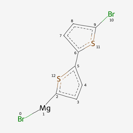 [Br][Mg][c]1ccc(-c2ccc(Br)s2)s1